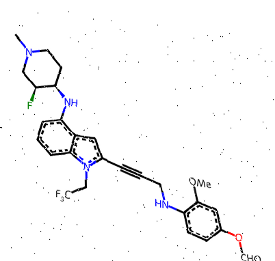 COc1cc(OC=O)ccc1NCC#Cc1cc2c(N[C@@H]3CCN(C)C[C@@H]3F)cccc2n1CC(F)(F)F